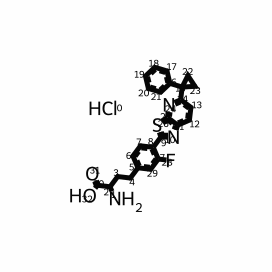 Cl.NC(CCc1ccc(-c2nc3ccc(C4(c5ccccc5)CC4)nc3s2)c(F)c1)C(=O)O